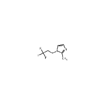 Cc1n[c]cn1CCC(F)(F)F